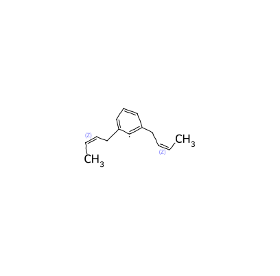 C/C=C\Cc1[c]c(C/C=C\C)ccc1